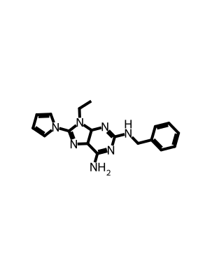 CCN1C(n2cccc2)=NC2C(N)=NC(NCc3ccccc3)=NC21